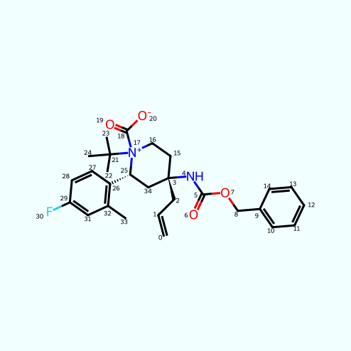 C=CC[C@]1(NC(=O)OCc2ccccc2)CC[N+](C(=O)[O-])(C(C)(C)C)[C@@H](c2ccc(F)cc2C)C1